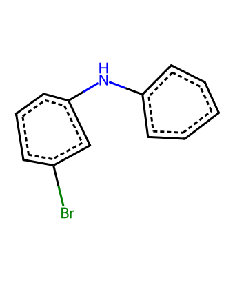 Brc1cccc(Nc2ccccc2)c1